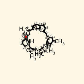 CC(C)[C@@H]1NC(=O)[C@]2(CCc3ccc4ccc(nc4c3)[C@@H](C)OC(=O)[C@@H]3CCCN(N3)C(=O)[C@H](C)NC1=O)CC[C@H](C)CC2